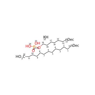 CCCCCCCCCCCCCCCCCCCCCC(=O)O.CCCCCCCCCCCCCCCCOP(=O)(O)O.[KH]